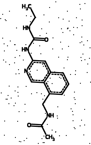 CCNC(=O)Nc1cc2cccc(CNC(C)=O)c2cn1